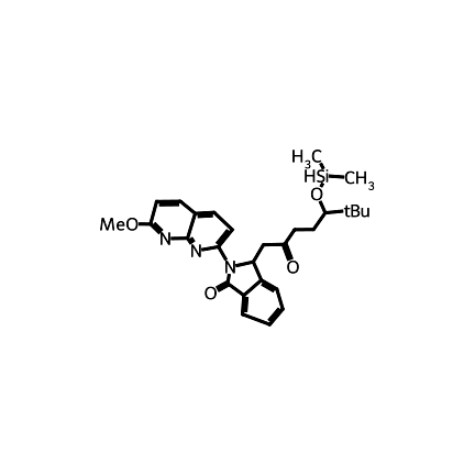 COc1ccc2ccc(N3C(=O)c4ccccc4C3CC(=O)CCC(O[SiH](C)C)C(C)(C)C)nc2n1